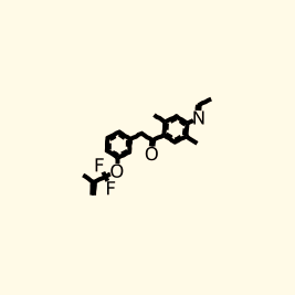 C=C(C)C(F)(F)Oc1cccc(CC(=O)c2cc(C)c(/N=C/C)cc2C)c1